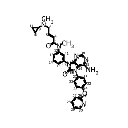 CN(C(=O)/C=C/CN(C)C1CC1)c1cccc(-n2c(=O)n(-c3ccc(Oc4ccccn4)cc3)c3c(N)ncnc32)c1